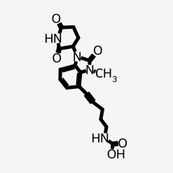 Cn1c(=O)n(C2CCC(=O)NC2=O)c2cccc(C#CCCCNC(=O)O)c21